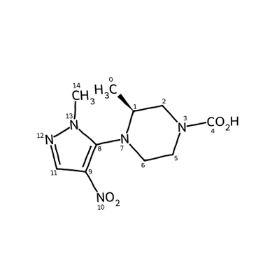 C[C@H]1CN(C(=O)O)CCN1c1c([N+](=O)[O-])cnn1C